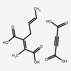 CC=CCC(C(=O)O)=C(C)C(=O)O.O=C(O)C#CC(=O)O